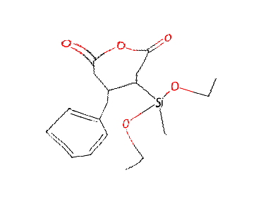 CCO[Si](C)(OCC)C1C(=O)OC(=O)C1c1ccccc1